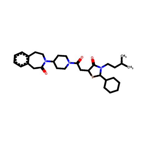 CC(C)CCN1C(=O)C(CC(=O)N2CCC(N3CCc4ccccc4CC3=O)CC2)SC1C1CCCCC1